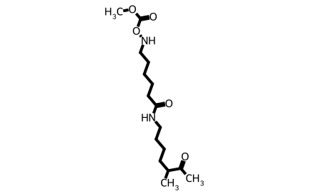 COC(=O)ONCCCCCC(=O)NCCCCC(C)C(C)=O